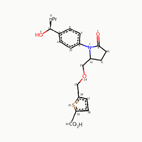 CCC[C@H](O)c1ccc(N2C(=O)CCC2COCc2ccc(C(=O)O)s2)cc1